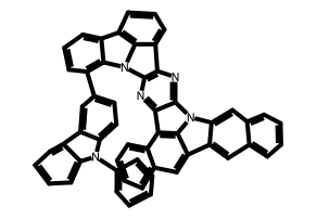 c1ccc(-n2c3ccccc3c3cc(-c4cccc5c6cccc7c8nc9c(nc8n(c45)c67)c4c5ccccc5cc5c6cc7ccccc7cc6n9c54)ccc32)cc1